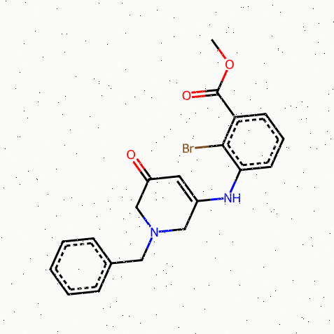 COC(=O)c1cccc(NC2=CC(=O)CN(Cc3ccccc3)C2)c1Br